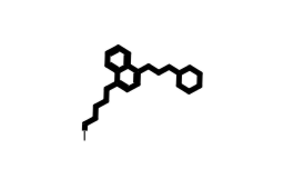 ICCCCCc1ccc(CCCC2CCCCC2)c2ccccc12